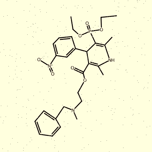 CCOP(=O)(OCC)C1=C(C)NC(C)=C(C(=O)OCCN(C)Cc2ccccc2)C1c1cccc([N+](=O)[O-])c1